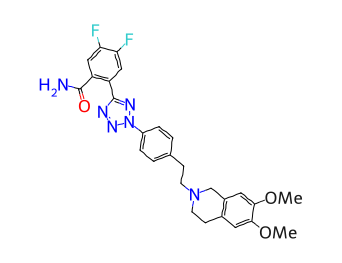 COc1cc2c(cc1OC)CN(CCc1ccc(-n3nnc(-c4cc(F)c(F)cc4C(N)=O)n3)cc1)CC2